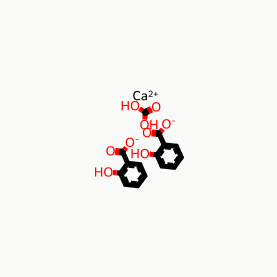 O=C(O)O.O=C([O-])c1ccccc1O.O=C([O-])c1ccccc1O.[Ca+2]